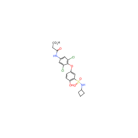 O=C(O)CC(=O)Nc1cc(Cl)c(Oc2ccc(O)c(S(=O)(=O)NC3CCC3)c2)c(Cl)c1